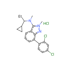 CCC(C1CC1)N(C)c1c2cccc(-c3ccc(Cl)cc3Cl)c2nn1C.Cl